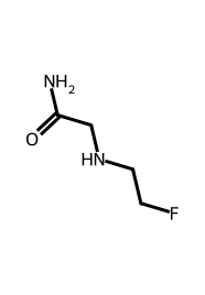 NC(=O)CNCCF